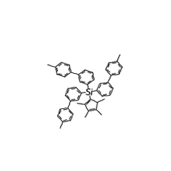 CC1=C(C)C(C)C([Si](c2cccc(-c3ccc(C)cc3)c2)(c2cccc(-c3ccc(C)cc3)c2)c2cccc(-c3ccc(C)cc3)c2)=C1C